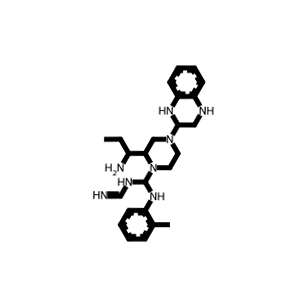 CCC(N)C1CN(C2CNc3ccccc3N2)CCN1C(NC=N)Nc1ccccc1C